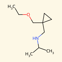 CCOCC1(CNC(C)C)CC1